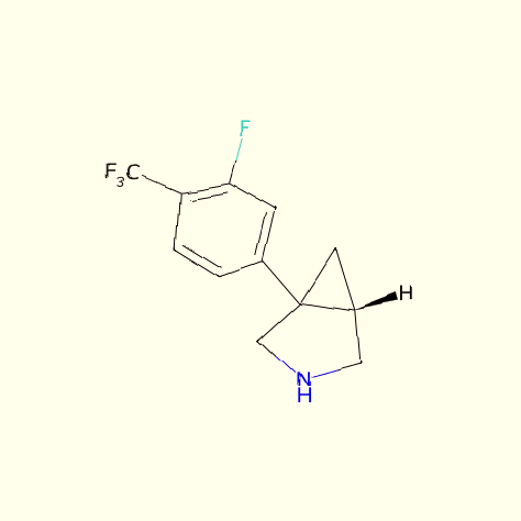 Fc1cc(C23CNC[C@H]2C3)ccc1C(F)(F)F